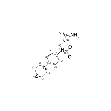 NC(=O)[C@H]1CN(c2ccc(N3CCSCC3)cc2)C(=O)O1